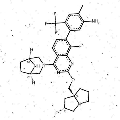 Cc1cc(C(F)(F)F)c(-c2ccc3c(N4C[C@H]5CC[C@@H](C4)N5)nc(OC[C@@]45CCCN4C[C@H](F)C5)nc3c2F)cc1N